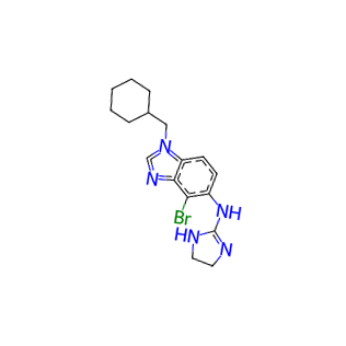 Brc1c(NC2=NCCN2)ccc2c1ncn2CC1CCCCC1